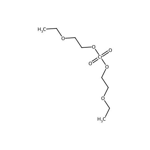 CCOCC[O][Cr](=[O])(=[O])[O]CCOCC